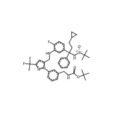 CC(C)(C)OC(=O)NCc1cccc(-n2nc(C(F)(F)F)cc2CNc2cc(C(CCC3CC3)(N[S@+]([O-])C(C)(C)C)c3ccccc3)ccc2F)c1